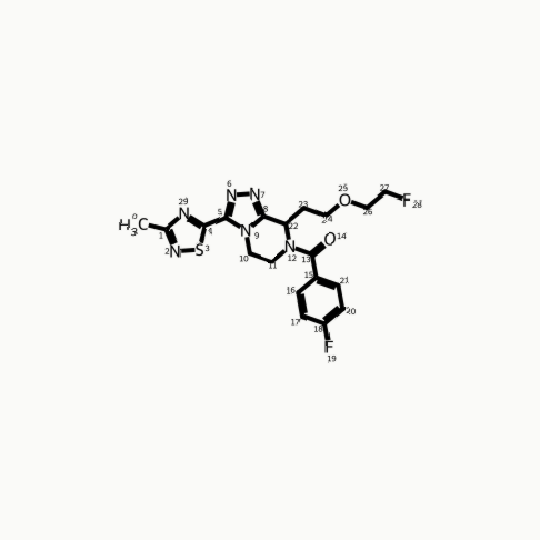 Cc1nsc(-c2nnc3n2CCN(C(=O)c2ccc(F)cc2)C3CCOCCF)n1